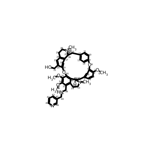 COc1ccc2cc1Oc1ccc(cc1)C[C@H]1c3cc(c(CO)cc3CCN1C)Oc1c(OC)c(OC)c(CNCc3cccnc3)c3c1[C@H](C2)N(C)CC3